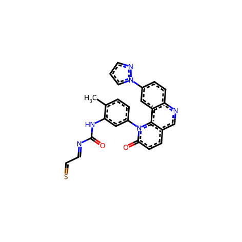 Cc1ccc(-n2c(=O)ccc3cnc4ccc(-n5cccn5)cc4c32)cc1NC(=O)N=CC=S